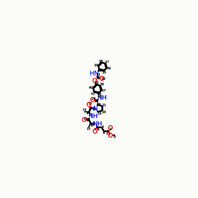 COC(=O)CCC(=O)N[C@@H](C)C(=O)N[C@@H](C)C(=O)N1CCC[C@H]1C(=O)Nc1ccc(OC(=O)Nc2ccccc2)cc1